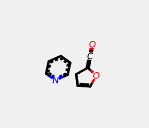 O=C=C1CC=CO1.c1ccncc1